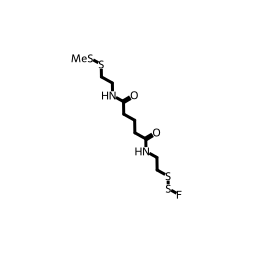 CSSCCNC(=O)CCCC(=O)NCCSSF